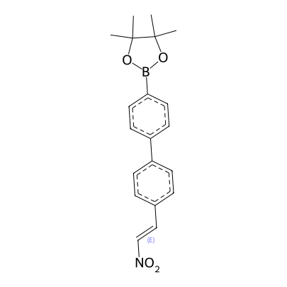 CC1(C)OB(c2ccc(-c3ccc(/C=C/[N+](=O)[O-])cc3)cc2)OC1(C)C